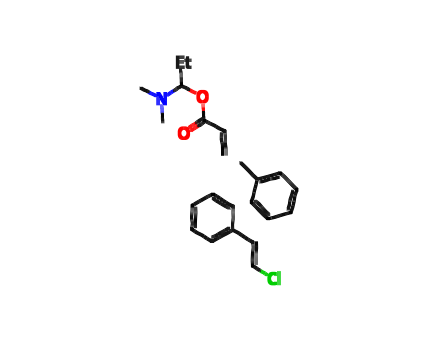 C=CC(=O)OC(CC)N(C)C.Cc1ccccc1.ClC=Cc1ccccc1